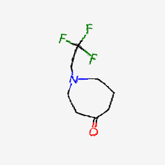 O=C1CCCN(CC(F)(F)F)CC1